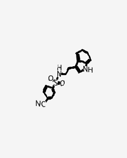 N#Cc1ccc(S(=O)(=O)NCCc2c[nH]c3ccccc23)cc1